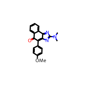 COc1ccc(C2=C3N=C(N(C)C)N=C3c3ccccc3C2=O)cc1